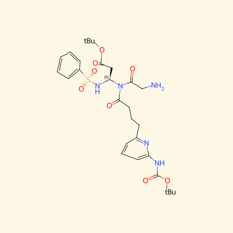 CC(C)(C)OC(=O)C[C@H](NS(=O)(=O)c1ccccc1)N(C(=O)CN)C(=O)CCCc1cccc(NC(=O)OC(C)(C)C)n1